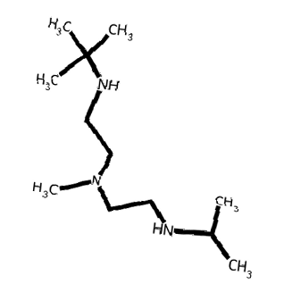 CC(C)NCCN(C)CCNC(C)(C)C